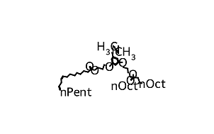 CCCCC/C=C\C/C=C\CCCCCCCC(=O)OCCCOc1cc(CN(C)C)cc(OCCCOC(=O)CC(CCCCCCCC)CCCCCCCC)c1